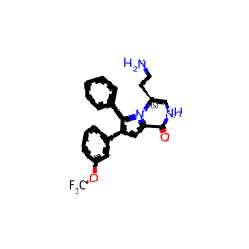 NCC[C@H]1CNC(=O)c2cc(-c3cccc(OC(F)(F)F)c3)c(-c3ccccc3)n21